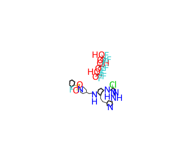 O=C(O)C(F)(F)F.O=C(O)C(F)(F)F.O=C(O)C(F)(F)F.O=S(=O)(c1ccccc1F)N1CCC(CCNc2ccc3cc2CCc2cncc(c2)Nc2ncc(Cl)c(n2)N3)CC1